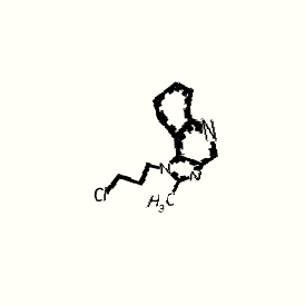 Cc1nc2cnc3ccccc3c2n1CCCCl